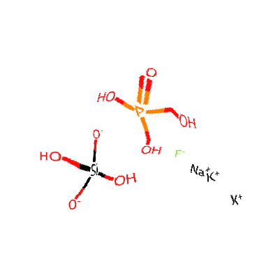 O=P(O)(O)O.[F-].[K+].[K+].[Na+].[O-][Si]([O-])(O)O